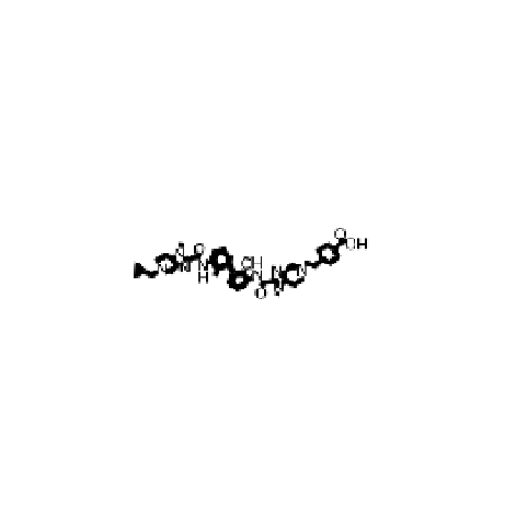 Cc1c(NC(=O)c2nc3c(n2C)CCN(CC2CC2)C3)cccc1-c1cccc(NC(=O)c2nc3c(n2C)CCN(CCC2CCC(C(=O)O)CC2)C3)c1Cl